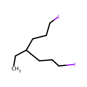 CCC(CCCI)CCCI